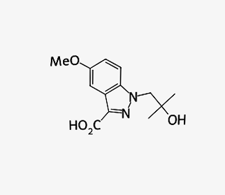 COc1ccc2c(c1)c(C(=O)O)nn2CC(C)(C)O